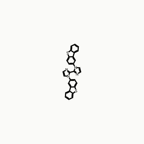 c1ccc2c(c1)sc1ccc(-n3ccnc3-c3nccn3-c3ccc4sc5ccccc5c4c3)cc12